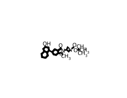 Cn1c2ccc(-c3cc(O)cc4ccccc34)cc2c(=O)n1C1CN(C(=O)OC(C)(C)C)C1